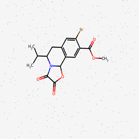 COC(=O)c1cc2c(cc1Br)CC(C(C)C)N1C(=O)C(=O)OC21